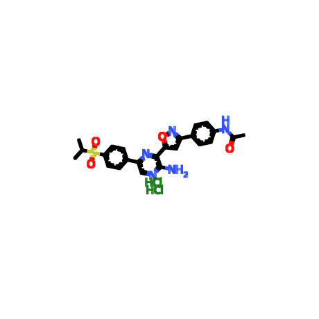 CC(=O)Nc1ccc(-c2cc(-c3nc(-c4ccc(S(=O)(=O)C(C)C)cc4)cnc3N)on2)cc1.Cl.Cl